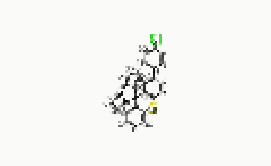 Clc1ccc(-c2ccc3c(c2)C2(c4ccccc4S3)c3ccccc3-c3ccccc32)cc1